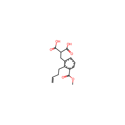 C=CCCc1c(CC(C(=O)O)C(=O)O)cccc1C(=O)OC